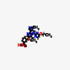 CCCOc1ccnc(NCc2c(-c3ncc(O[C@H]4CCC[C@H](C(=O)O)C4)c(CC)n3)cnn2C)n1